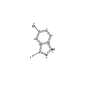 Clc1ccc2[nH]nc(I)c2c1